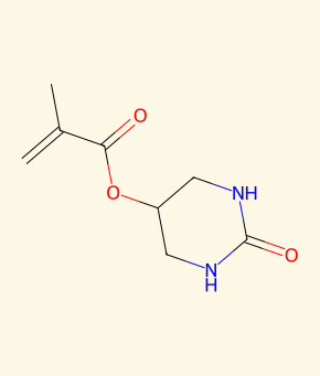 C=C(C)C(=O)OC1CNC(=O)NC1